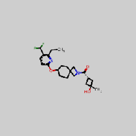 CCc1nc(OC2CCC3(CC2)CN(C(=O)[C@H]2C[C@@](C)(O)C2)C3)ccc1C(F)F